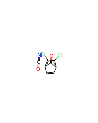 N=C=O.O=C1C2=C(Cl)C(Cl)=C1C=C2